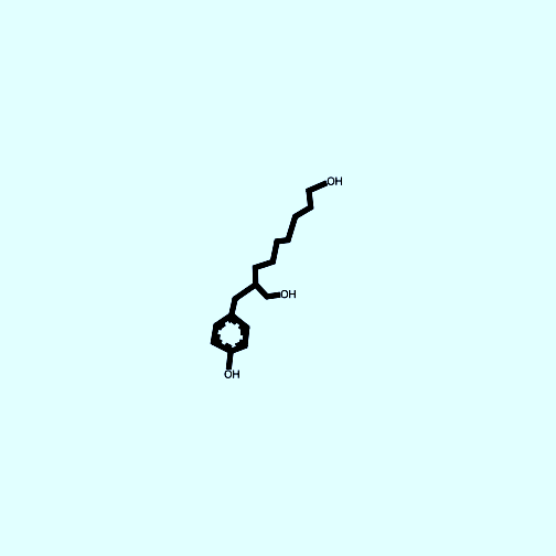 OCCCCCCCC(CO)Cc1ccc(O)cc1